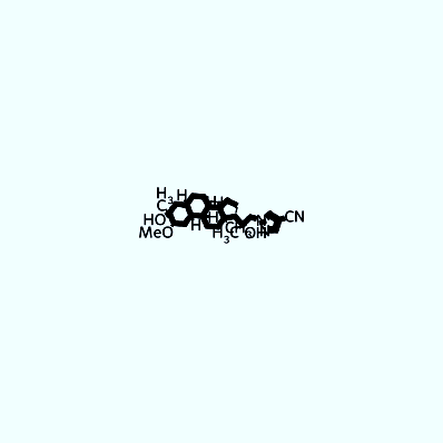 CO[C@@H]1C[C@H]2[C@H](CC[C@@H]3[C@@H]2CC[C@@]2(C)[C@H]3CC[C@@H]2[C@@](C)(O)Cn2cc(C#N)cn2)C[C@]1(C)O